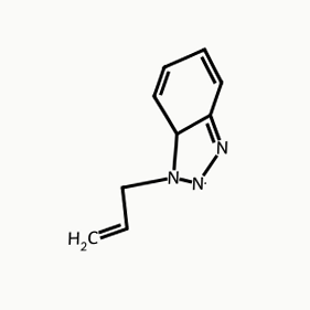 C=CCN1[N]N=C2C=CC=CC21